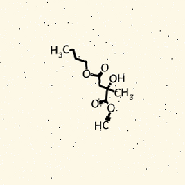 C#COC(=O)C(C)(O)CC(=O)OCCCC